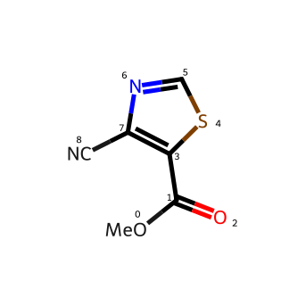 COC(=O)c1scnc1C#N